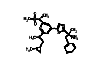 CC1CC1CN(C)c1cc(-c2cnc(C(C)(N)Cc3ccccc3)s2)cc(N(C)S(C)(=O)=O)n1